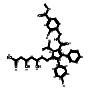 COC(=O)c1ccc(CNC(=O)c2c(-c3ccccc3)c(-c3ccc(F)cc3)c(CCC(O)CC(O)CC(=O)O)n2C(C)C)c(F)c1